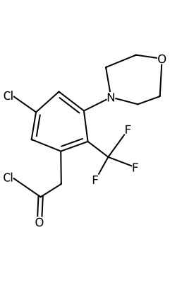 O=C(Cl)Cc1cc(Cl)cc(N2CCOCC2)c1C(F)(F)F